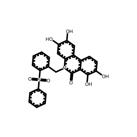 O=c1c2c(O)c(O)ccc2c2cc(O)c(O)cc2n1Cc1ccccc1S(=O)(=O)c1ccccc1